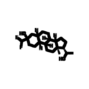 CC(O)[C@H]1CC[C@H]2[C@@H]3CC[C@H]4C[C@@](O)(C(F)F)CC[C@@H]4[C@H]3CC[C@]12C